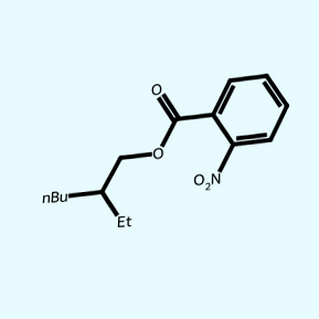 CCCCC(CC)COC(=O)c1ccccc1[N+](=O)[O-]